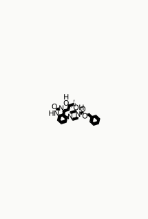 C[C@H](O)[C@@H](O)Cc1nc(=O)[nH]c2cccc(N3CCN(C(=O)OCc4ccccc4)CC3)c12